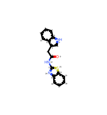 O=C([CH]c1c[nH]c2ccccc12)Nc1nc2ccccc2s1